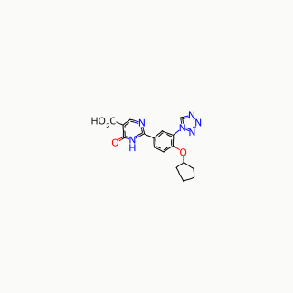 O=C(O)c1cnc(-c2ccc(OC3CCCC3)c(-n3cnnn3)c2)[nH]c1=O